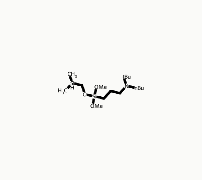 CCCCN(CCC[Si](OC)(OC)OC[SiH](C)C)C(C)(C)C